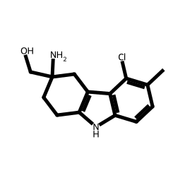 Cc1ccc2[nH]c3c(c2c1Cl)CC(N)(CO)CC3